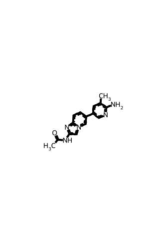 CC(=O)Nc1cn2cc(-c3cnc(N)c(C)c3)ccc2n1